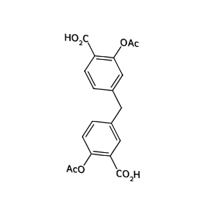 CC(=O)Oc1cc(Cc2ccc(OC(C)=O)c(C(=O)O)c2)ccc1C(=O)O